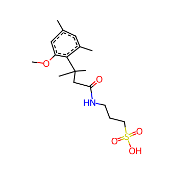 COc1cc(C)cc(C)c1C(C)(C)CC(=O)NCCCS(=O)(=O)O